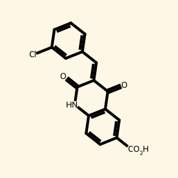 O=C1Nc2ccc(C(=O)O)cc2C(=O)/C1=C/c1cccc(Cl)c1